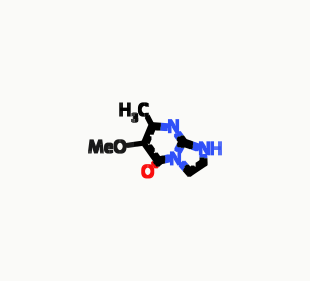 COc1c(C)nc2[nH]ccn2c1=O